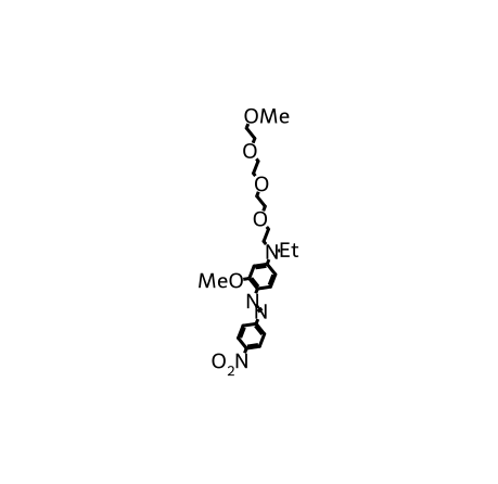 CCN(CCOCCOCCOCCOC)c1ccc(/N=N/c2ccc([N+](=O)[O-])cc2)c(OC)c1